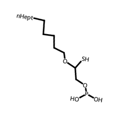 CCCCCCCCCCCCOC(S)COP(O)O